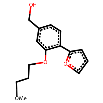 COCCCOc1cc(CO)ccc1-c1ccco1